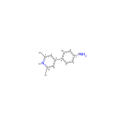 Cc1cc(-c2ccc(N)cc2)cc(C)n1